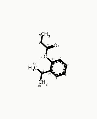 CCC(=O)Oc1ccccc1C(C)C